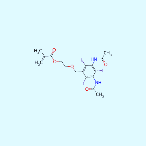 C=C(C)C(=O)OCCOCc1c(I)c(NC(C)=O)c(I)c(NC(C)=O)c1I